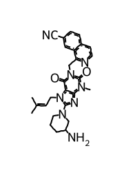 CC(C)=CCn1c(N2CCCC(N)C2)nc2c1c(=O)n(Cc1nccc3ccc(C#N)cc13)c(=O)n2C